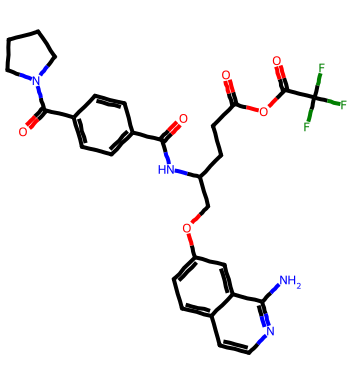 Nc1nccc2ccc(OCC(CCC(=O)OC(=O)C(F)(F)F)NC(=O)c3ccc(C(=O)N4CCCC4)cc3)cc12